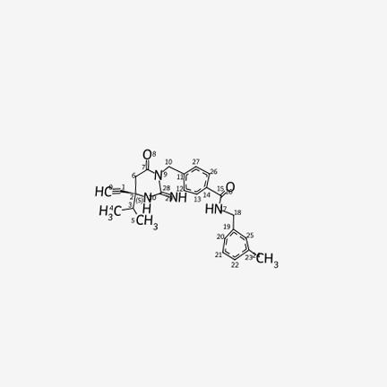 C#C[C@@]1(C(C)C)CC(=O)N(Cc2ccc(C(=O)NCc3cccc(C)c3)cc2)C(=N)N1